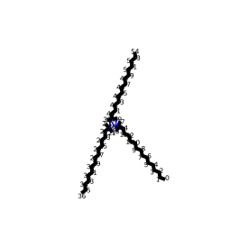 CCCCCCCCCCCCCCCC(C)(C)N(C(C)(C)CCCCCCCCCCCCCCC)C(C)(C)CCCCCCCCCCCCCCC